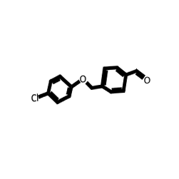 O=[C]c1ccc(COc2ccc(Cl)cc2)cc1